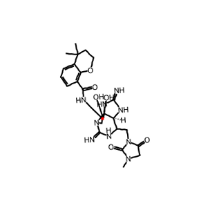 CN1CC(=O)N(CC2NC(=N)N3CC(NC(=O)c4cccc5c4OCCC5(C)C)C(O)(O)C34NC(=N)N[C@@H]24)C1=O